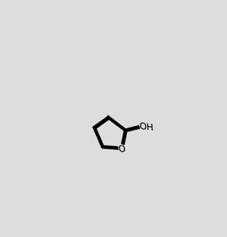 O[C]1[CH]CCO1